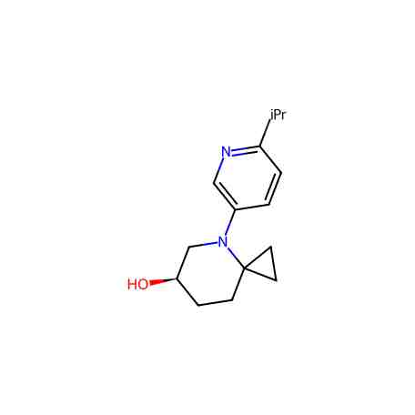 CC(C)c1ccc(N2C[C@H](O)CCC23CC3)cn1